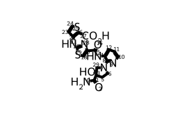 NC(=O)C1(O)CCN(c2ncccc2NC(=O)c2csc(Nc3ccsc3C(=O)O)n2)C1